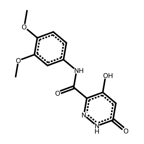 COc1ccc(NC(=O)c2n[nH]c(=O)cc2O)cc1OC